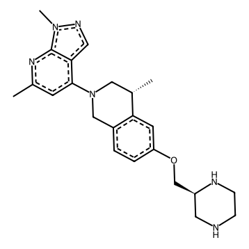 Cc1cc(N2Cc3ccc(OC[C@@H]4CNCCN4)cc3[C@@H](C)C2)c2cnn(C)c2n1